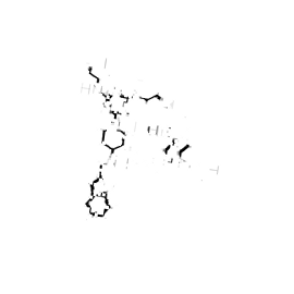 C=CCNc1nc(NCC=C)nc(N2CCC(NCc3cc4ccccc4o3)CC2)n1.O=C(O)/C=C/C(=O)O.O=C(O)/C=C/C(=O)O